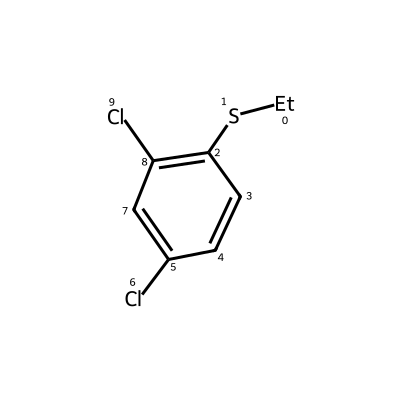 CCSc1ccc(Cl)cc1Cl